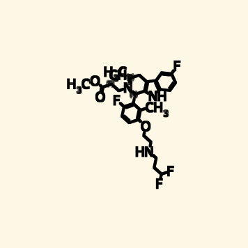 COC(=O)[C@H](C)CN1[C@H](c2c(F)ccc(OCCNCCC(F)F)c2C)c2[nH]c3ccc(F)cc3c2C[C@H]1C